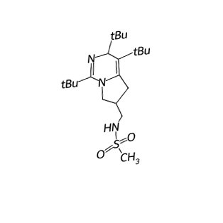 CC(C)(C)C1=NC(C(C)(C)C)C(C(C)(C)C)=C2CC(CNS(C)(=O)=O)CN12